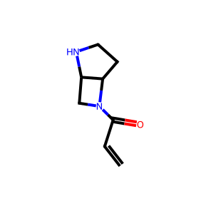 C=CC(=O)N1CC2NCCC21